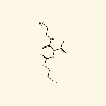 CCCNC(=O)ON(C(C)=O)C(=O)NCCC